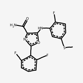 CSc1ccc(F)c(Nc2oc(-c3c(F)cccc3F)nc2C(N)=O)c1